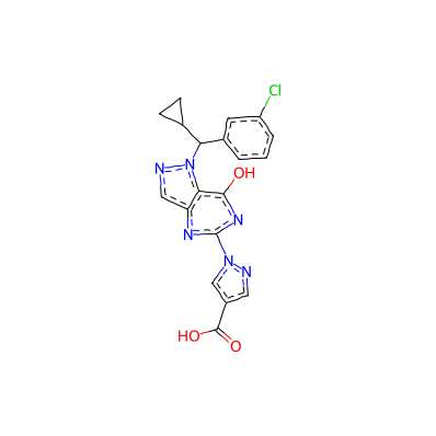 O=C(O)c1cnn(-c2nc(O)c3c(cnn3C(c3cccc(Cl)c3)C3CC3)n2)c1